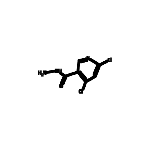 NNC(=O)c1cnc(Cl)cc1Cl